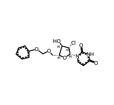 O=c1ccn([C@@H]2O[C@H](COCOc3ccccc3)[C@@H](O)[C@@H]2Cl)c(=O)[nH]1